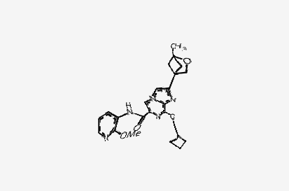 COc1ncccc1NC(=O)c1cn2cc(C34COC(C)(C3)C4)nc2c(OC2CCC2)n1